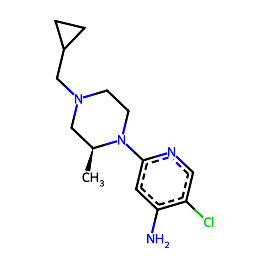 C[C@H]1CN(CC2CC2)CCN1c1cc(N)c(Cl)cn1